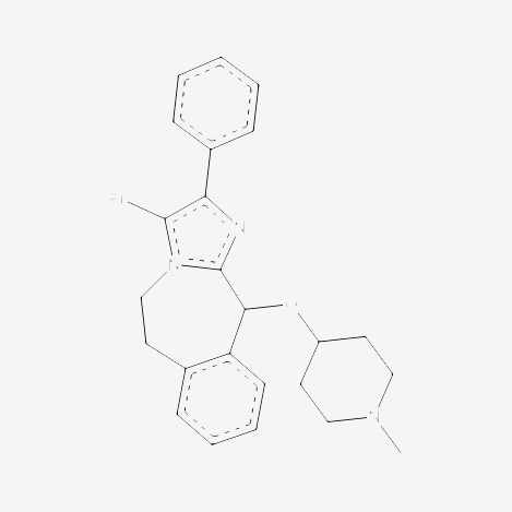 CCc1c(-c2ccccc2)nc2n1CCc1ccccc1C2OC1CCN(C)CC1